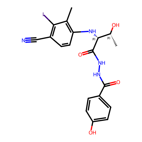 Cc1c(N[C@@H](C(=O)NNC(=O)c2ccc(O)cc2)[C@@H](C)O)ccc(C#N)c1I